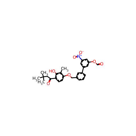 Cc1c(OCc2cccc(-c3cc(OC=O)cc([N+](=O)[O-])c3)c2)ccc(C(=O)CC(C)(C)C)c1O